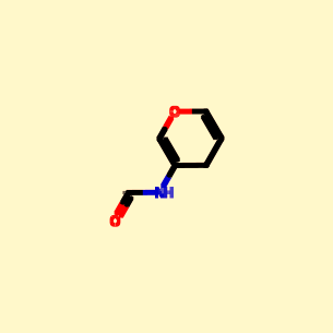 O=[C]NC1=COC=CC1